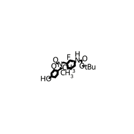 CC(C)(C)OC(=O)Nc1cccc(CN2C(=O)Oc3cc(O)ccc3C2(C)C)c1F